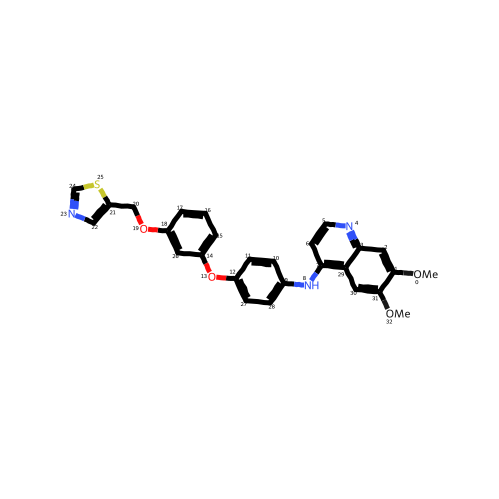 COc1cc2nccc(Nc3ccc(Oc4cccc(OCc5cncs5)c4)cc3)c2cc1OC